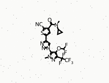 CN(C(=O)c1cc(-c2cn(-c3c(OC(F)F)c(C(F)(F)C(F)(F)F)nn3C)nn2)sc1C#N)C1CC1